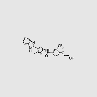 Cn1nc(NC(=O)c2ccc(OCCO)c(C(F)(F)F)c2)cc1-c1nc2ccccc2[nH]1